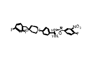 COC1(Cc2ccc(F)cc2F)CCN(c2ccc(C(=N)NS(=O)(=O)c3ccc(F)c([N+](=O)[O-])c3)cc2)CC1